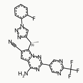 C[C@@H](c1cn(-c2ccccc2F)nn1)c1c(C#N)cc2c(N)nc(-c3cnc(C(F)(F)F)nc3)nn12